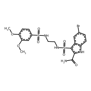 COc1ccc(S(=O)(=O)NCCNS(=O)(=O)c2c(C(N)=O)[nH]c3ccc(Br)cc23)cc1OC